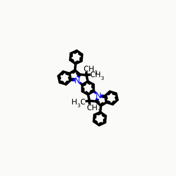 CC1(C)c2cc3c(cc2-n2c1c(-c1ccccc1)c1ccccc12)C(C)(C)c1c(-c2ccccc2)c2ccccc2n1-3